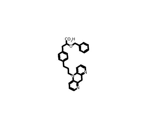 O=C(O)C(Cc1ccc(CCCN2c3cccnc3Cc3ncccc32)cc1)OCc1ccccc1